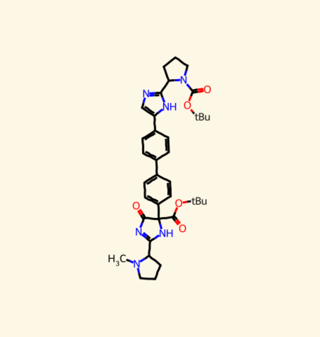 CN1CCCC1C1=NC(=O)C(C(=O)OC(C)(C)C)(c2ccc(-c3ccc(-c4cnc(C5CCCN5C(=O)OC(C)(C)C)[nH]4)cc3)cc2)N1